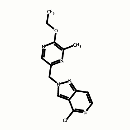 Cc1nc(Cn2cc3c(Cl)nccc3n2)cnc1OCC(F)(F)F